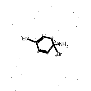 CCC1=CCC(N)(Br)C=C1